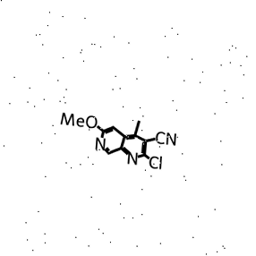 COc1cc2c(C)c(C#N)c(Cl)nc2cn1